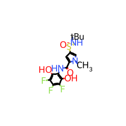 Cn1cc([S+]([O-])NC(C)(C)C)cc1C(=O)Nc1c(O)c(F)c(F)c(F)c1O